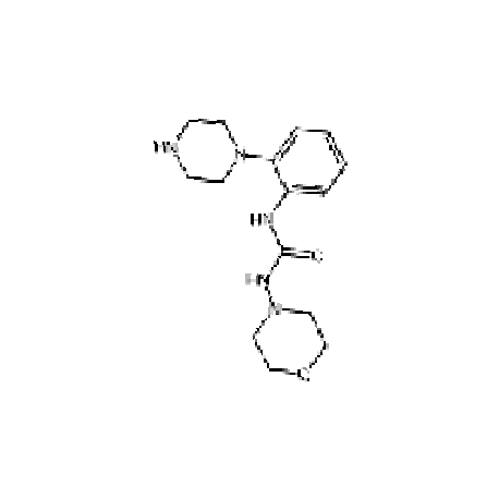 O=C(Nc1ccccc1N1CCNCC1)NN1CCOCC1